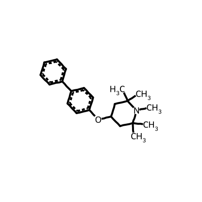 CN1C(C)(C)CC(Oc2ccc(-c3ccccc3)cc2)CC1(C)C